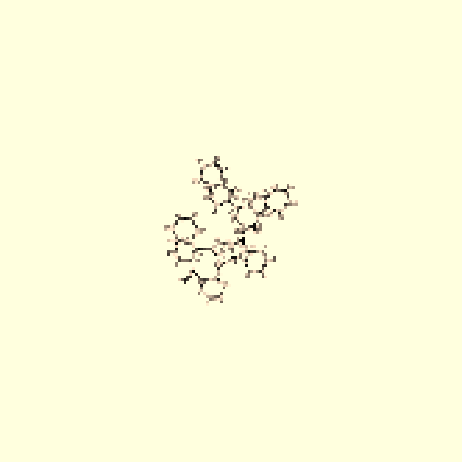 C=C1c2ccccc2-c2c(C)c(cc3c2c2ccccc2n3-c2nc(-c3ccc4ccccc4c3)c3sc4ccccc4c3n2)-c2c1ccc1ccccc21